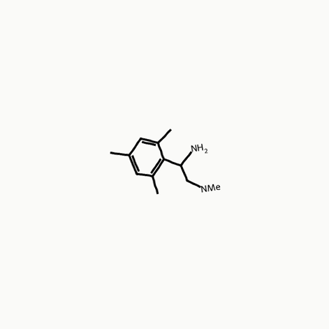 CNCC(N)c1c(C)cc(C)cc1C